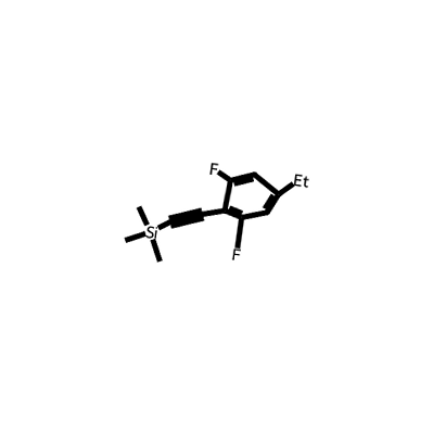 CCc1cc(F)c(C#C[Si](C)(C)C)c(F)c1